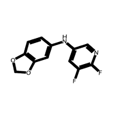 Fc1cc(Nc2ccc3c(c2)OCO3)cnc1F